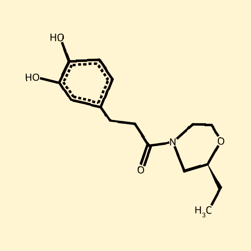 CC[C@H]1CN(C(=O)CCc2ccc(O)c(O)c2)CCO1